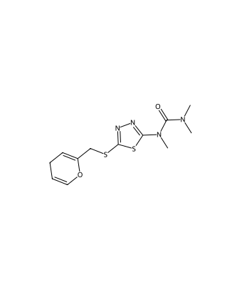 CN(C)C(=O)N(C)c1nnc(SCC2=CCC=CO2)s1